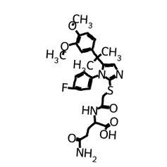 COc1ccc(C(C)(C)c2cnc(SCC(=O)NC(CCC(N)=O)C(=O)O)n2-c2ccc(F)cc2)cc1OC